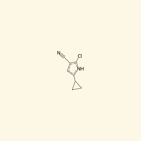 N#Cc1cc(C2CC2)[nH]c1Cl